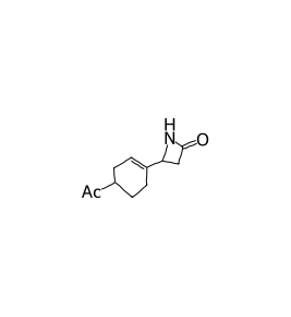 CC(=O)C1CC=C(C2CC(=O)N2)CC1